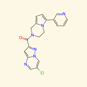 O=C(c1cc2ncc(Cl)cn2n1)N1CCn2c(ccc2-c2cccnc2)C1